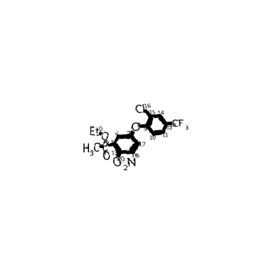 CCOP(C)(=O)c1cc(Oc2ccc(C(F)(F)F)cc2Cl)ccc1[N+](=O)[O-]